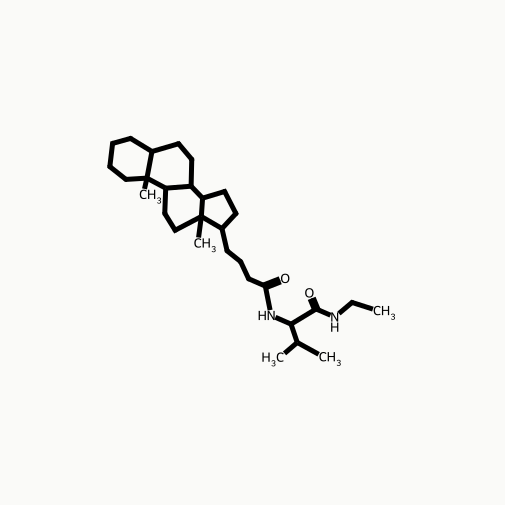 CCNC(=O)C(NC(=O)CCCC1CCC2C3CCC4CCCCC4(C)C3CCC12C)C(C)C